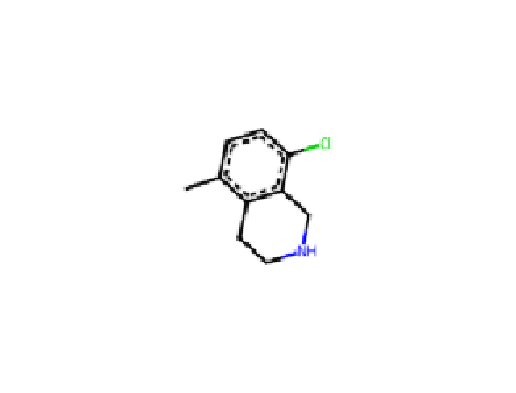 Cc1ccc(Cl)c2c1CCNC2